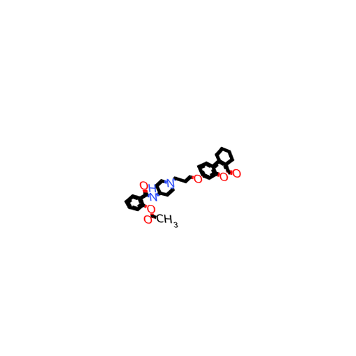 CC(=O)Oc1ccccc1C(=O)NC1CCN(CCCOc2ccc3c4c(c(=O)oc3c2)CCCC4)CC1